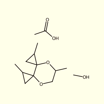 CC(=O)O.CC1COC2(CC2C)C2(CC2C)O1.CO